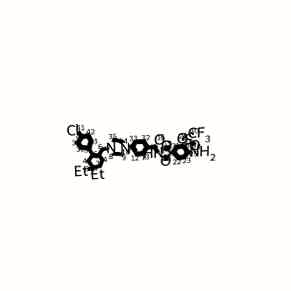 CCC1(CC)CCC(CN2CCN(c3ccc(C(=O)NS(=O)(=O)c4ccc(N)c(S(=O)(=O)C(F)(F)F)c4)cc3)CC2)=C(c2ccc(Cl)cc2)C1